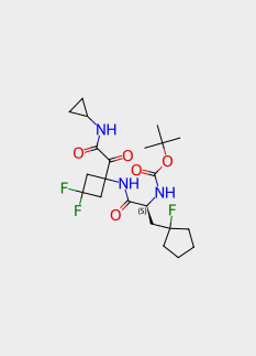 CC(C)(C)OC(=O)N[C@@H](CC1(F)CCCC1)C(=O)NC1(C(=O)C(=O)NC2CC2)CC(F)(F)C1